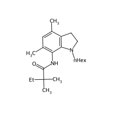 CCCCCCN1CCc2c(C)cc(C)c(NC(=O)C(C)(C)CC)c21